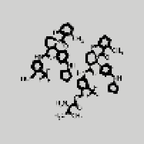 Cc1cccc(F)c1C(=O)N1CCCC(C(=O)Nc2ccc(CO)c(C(F)(F)F)c2)C1c1ccc(NC2CCCC2)cc1.Cc1cccc(F)c1C(=O)N1CCC[C@H](C(=O)Nc2ccc(COC(=O)[C@H](N)C(C)C)c(C(F)(F)F)c2)[C@@H]1c1ccc(NC2CCCC2)cc1